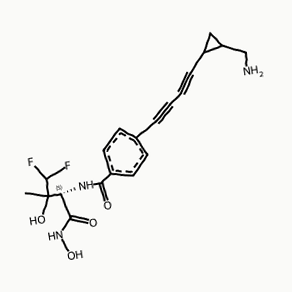 CC(O)(C(F)F)[C@H](NC(=O)c1ccc(C#CC#CC2CC2CN)cc1)C(=O)NO